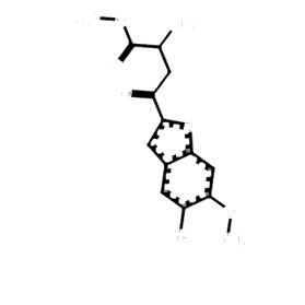 COC(=O)C(C)CC(=O)c1cc2cc(Br)c(OC)cc2s1